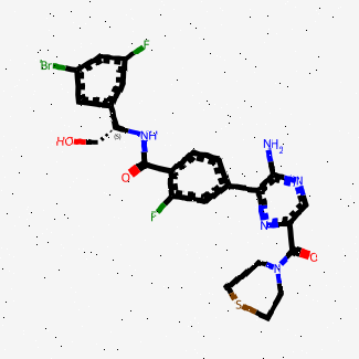 Nc1ncc(C(=O)N2CCSCC2)nc1-c1ccc(C(=O)N[C@H](CO)c2cc(F)cc(Br)c2)c(F)c1